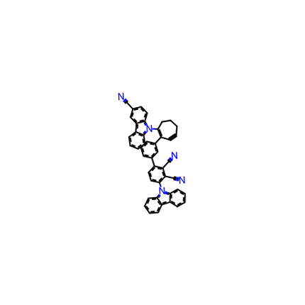 N#Cc1ccc2c(c1)c1ccccc1n2C1=C(c2cccc(-c3ccc(-n4c5ccccc5c5ccccc54)c(C#N)c3C#N)c2)C#CCCC1